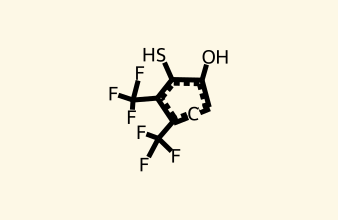 Oc1ccc(C(F)(F)F)c(C(F)(F)F)c1S